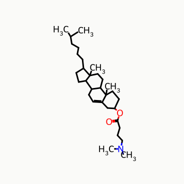 CC(C)CCCCC1CCC2C3CC=C4CC(OC(=O)CCCN(C)C)CCC4(C)C3CCC12C